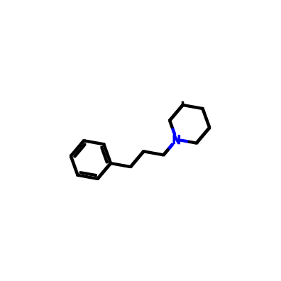 [CH]1CCCN(CCCc2ccccc2)C1